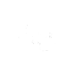 CC[n+]1c(C(=O)[O-])cc2n1CCCN2